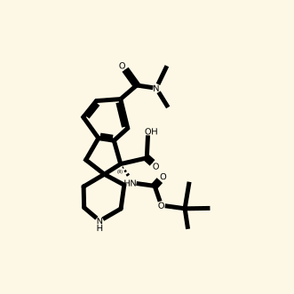 CN(C)C(=O)c1ccc2c(c1)[C@@](NC(=O)OC(C)(C)C)(C(=O)O)C1(CCNCC1)C2